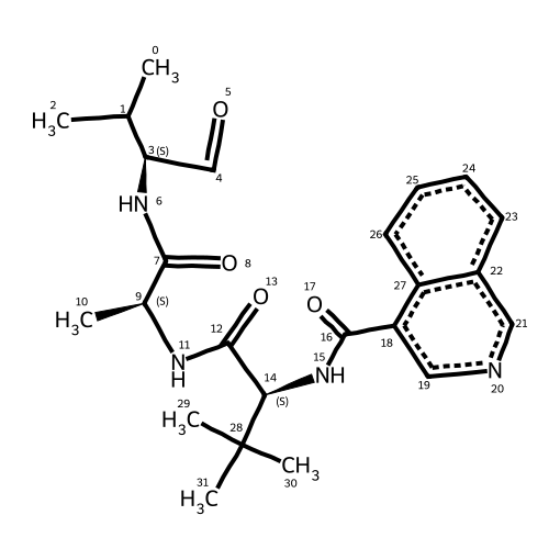 CC(C)[C@@H](C=O)NC(=O)[C@H](C)NC(=O)[C@@H](NC(=O)c1cncc2ccccc12)C(C)(C)C